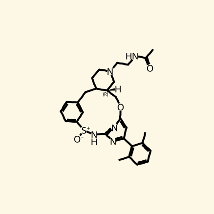 CC(=O)NCCN1CCC2Cc3cccc(c3)[S+]([O-])Nc3nc(cc(-c4c(C)cccc4C)n3)OC[C@H]2C1